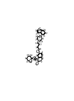 O=C1CCc2ccc(OCCCCN3CCN(c4cccc5sccc45)CC3)cc2N1COC1CCCCO1